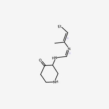 CC/C=C(C)/N=C\NC1CNCCC1=O